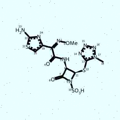 CON=C(C(=O)N[C@@H]1C(=O)N(S(=O)(=O)O)[C@@H]1Sc1nnnn1C)c1csc(N)n1